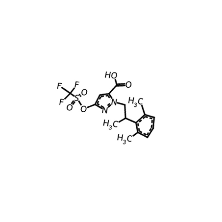 Cc1cccc(C)c1C(C)Cn1nc(OS(=O)(=O)C(F)(F)F)cc1C(=O)O